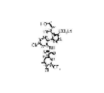 CCOC(=O)c1nnc(-c2ncc(Cl)cc2NS(=O)(=O)c2ccc(Cl)c(C(F)(F)F)c2)n1C(=N)/C=C\O